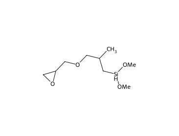 CO[SiH](CC(C)COCC1CO1)OC